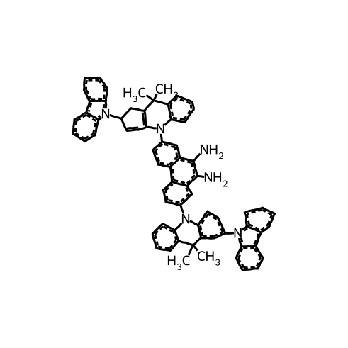 CC1(C)C2=C(C=CC(n3c4ccccc4c4ccccc43)C2)N(c2ccc3c(c2)c(N)c(N)c2cc(N4c5ccccc5C(C)(C)c5cc(-n6c7ccccc7c7ccccc76)ccc54)ccc23)c2ccccc21